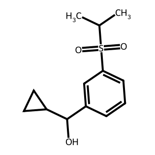 CC(C)S(=O)(=O)c1cccc(C(O)C2CC2)c1